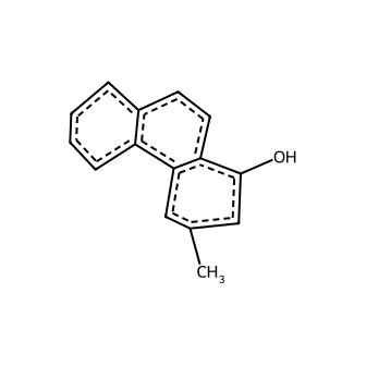 Cc1cc(O)c2ccc3ccccc3c2c1